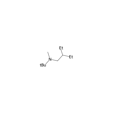 CCC(CC)CN(C)C(C)(C)C